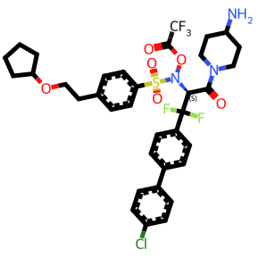 NC1CCN(C(=O)[C@H](N(OC(=O)C(F)(F)F)S(=O)(=O)c2ccc(CCOC3CCCC3)cc2)C(F)(F)c2ccc(-c3ccc(Cl)cc3)cc2)CC1